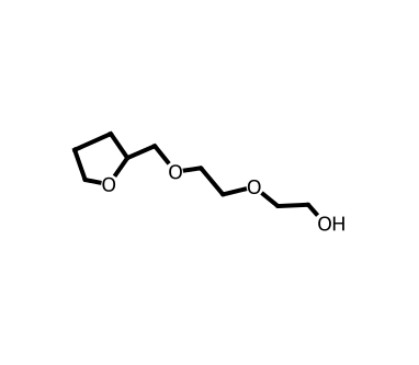 OCCOCCOCC1CCCO1